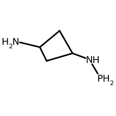 NC1CC(NP)C1